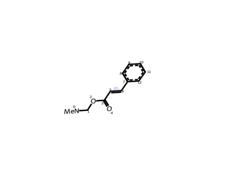 CNCOC(=O)/C=C/c1ccccc1